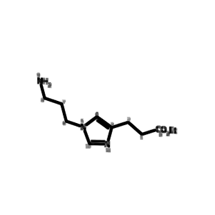 CCOC(=O)CCc1cn(CCCN)cn1